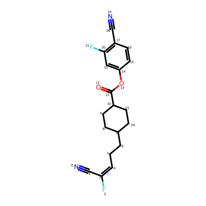 N#C/C(F)=C\CCC1CCC(C(=O)Oc2ccc(C#N)c(F)c2)CC1